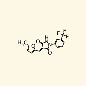 Cc1ccc(C=C2C(=O)NN(c3cccc(C(F)(F)F)c3)C2=O)o1